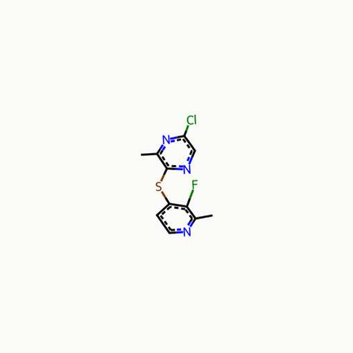 Cc1nc(Cl)cnc1Sc1ccnc(C)c1F